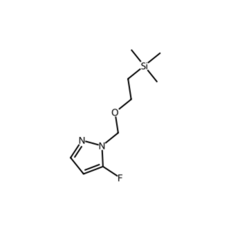 C[Si](C)(C)CCOCn1nccc1F